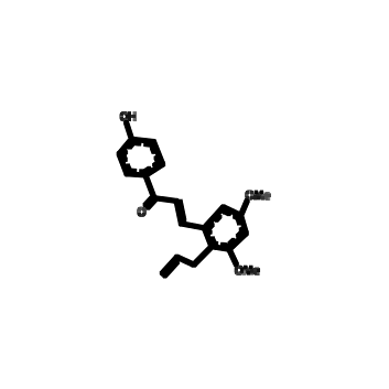 C=CCc1c(/C=C/C(=O)c2ccc(O)cc2)cc(OC)cc1OC